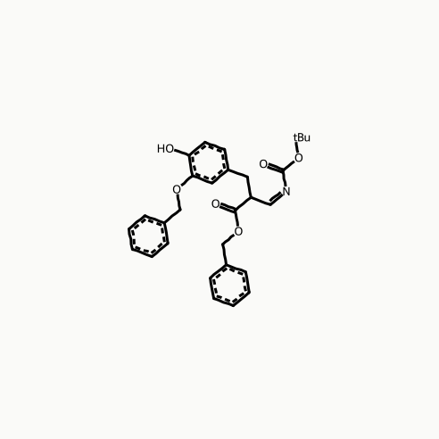 CC(C)(C)OC(=O)/N=C\C(Cc1ccc(O)c(OCc2ccccc2)c1)C(=O)OCc1ccccc1